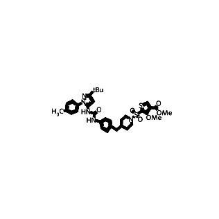 COC(=O)c1csc(S(=O)(=O)N2CCC(Cc3ccc(NC(=O)Nc4cc(C(C)(C)C)nn4-c4ccc(C)cc4)cc3)CC2)c1OC